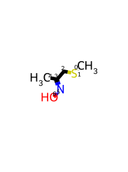 CSCC(C)=NO